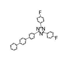 Fc1ccc(-c2nc(-c3ccc(F)cc3)nc(-c3ccc(-c4ccc(-c5ccccc5)cc4)cc3)n2)cc1